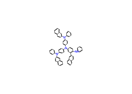 c1ccc(Nc2ccc(N(c3ccc(N(c4ccccc4)c4ccc5ccccc5c4)cc3)c3ccc(N(c4ccccc4)c4ccc5ccccc5c4)cc3)cc2-c2ccc3ccccc3c2)cc1